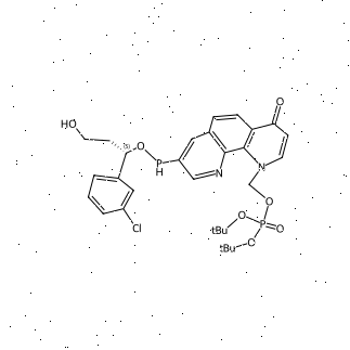 CC(C)(C)OP(=O)(OCn1ccc(=O)c2ccc3cc(PO[C@@H](CCO)c4cccc(Cl)c4)cnc3c21)OC(C)(C)C